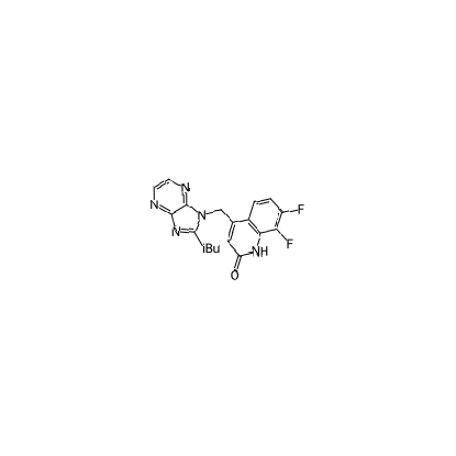 CCC(C)c1nc2nccnc2n1Cc1cc(=O)[nH]c2c(F)c(F)ccc12